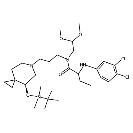 CCC(Nc1ccc(Cl)c(Cl)c1)C(=O)N(CCCN1CCC2(CC2)[C@H](O[Si](C)(C)C(C)(C)C)C1)CC(OC)OC